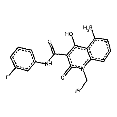 Bc1cccc2c1c(O)c(C(=O)Nc1cccc(F)c1)c(=O)n2CC(C)C